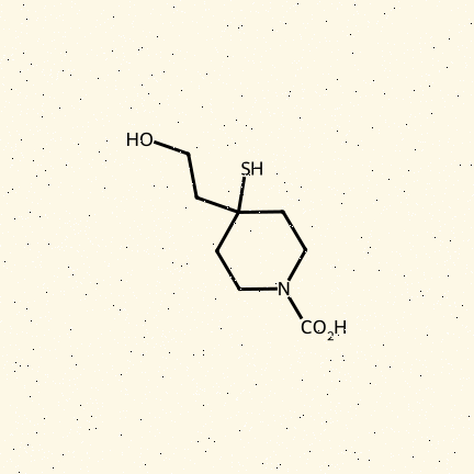 O=C(O)N1CCC(S)(CCO)CC1